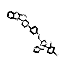 Cc1nc2ccccc2nc1N1CCN(c2ccc(OC[C@@H]3CO[C@@](Cn4ccnc4)(c4ccc(Cl)cc4Cl)O3)cc2)CC1